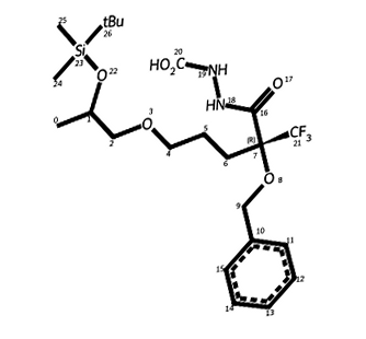 CC(COCCC[C@@](OCc1ccccc1)(C(=O)NNC(=O)O)C(F)(F)F)O[Si](C)(C)C(C)(C)C